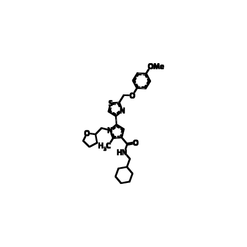 COc1ccc(OCc2nc(-c3cc(C(=O)NCC4CCCCC4)c(C)n3CC3CCCO3)cs2)cc1